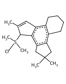 CC1=Cc2c3c(c4c(c2C1S(C)(C)Cl)CC(C)(C)C4)CCCC3